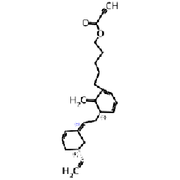 C#CC(=O)OCCCCCC1=CC=C[C@@H](C/C=C2/C=CC[C@@H](C=C)C2)C1=C